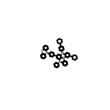 c1ccc(N2c3ccccc3B3c4cc(C5CCCCC5)ccc4N(c4ccc(C5CCCCC5)cc4)c4cc(-c5ccc(N6c7ccccc7Sc7ccccc76)cc5)cc2c43)cc1